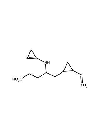 C=CC1CC1CC(CCC(=O)O)NC1=CC1